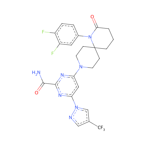 NC(=O)c1nc(N2CCC3(CCCC(=O)N3c3ccc(F)c(F)c3)CC2)cc(-n2cc(C(F)(F)F)cn2)n1